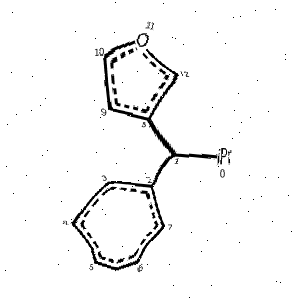 CC(C)C(c1ccccc1)c1ccoc1